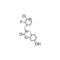 O=C1Oc2cc(O)ccc2CN1Cc1ccnc(Cl)c1F